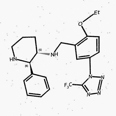 CCOc1ccc(-n2nnnc2C(F)(F)F)cc1CN[C@H]1CCCN[C@@H]1c1ccccc1